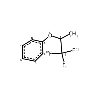 CC(Oc1[c]cccc1)C(F)(F)F